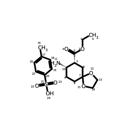 CCOC(=O)[C@@H]1CC2(CC[C@@H]1N)OCCO2.Cc1ccc(S(=O)(=O)O)cc1